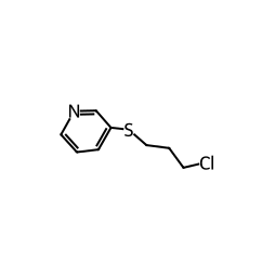 ClCCCSc1cccnc1